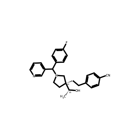 C[C@@H](O)[C@@]1(CCc2ccc(C#N)cc2)CCN(C(c2ccc(F)cc2)c2cccnc2)C1